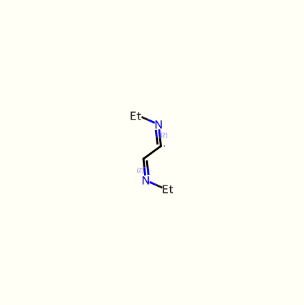 CC/N=[C]\C=N/CC